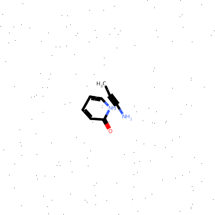 CC#CN.O=c1cccc[nH]1